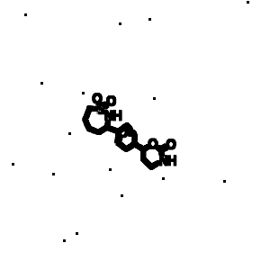 O=C1NCCC(C2CC3OC2CC3C2CCCCS(=O)(=O)N2)O1